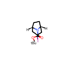 CC(C)(C)OC(=O)N1[C@@H]2CC[C@H]1C[C@H](I)C2